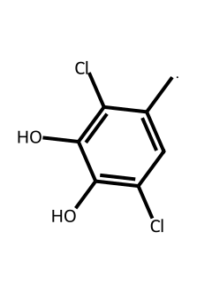 [CH2]c1cc(Cl)c(O)c(O)c1Cl